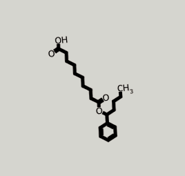 CCCCC(OC(=O)CCCCCCCCC(=O)O)c1ccccc1